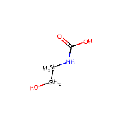 O=C(O)N[SiH2][SiH2]O